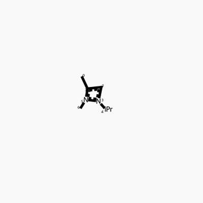 Cc1cn(C(C)C)n1C